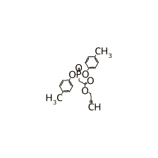 C#CCOC(=O)CP(=O)(Oc1ccc(C)cc1)Oc1ccc(C)cc1